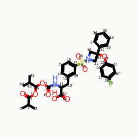 CC(C)C(=O)OC(OC(=O)NC(Cc1cccc(S(=O)(=O)N2CC(Oc3ccc(F)cc3)(c3ccccc3)C2)c1)C(=O)O)C(C)C